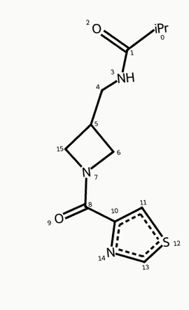 CC(C)C(=O)NCC1CN(C(=O)c2cscn2)C1